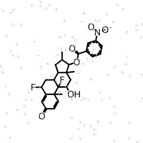 CC1CC2C3CC(F)C4=CC(=O)C=CC4(C)C3(F)C(O)CC2(C)C1OC(=O)c1cccc([N+](=O)[O-])c1